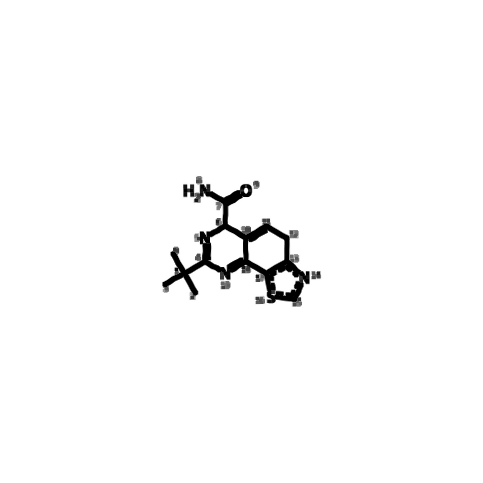 CC(C)(C)C1=NC(C(N)=O)C2=CCc3n[c]sc3C2=N1